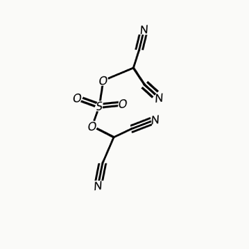 N#CC(C#N)OS(=O)(=O)OC(C#N)C#N